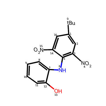 CC(C)(C)c1cc([N+](=O)[O-])c(Nc2ccccc2O)c([N+](=O)[O-])c1